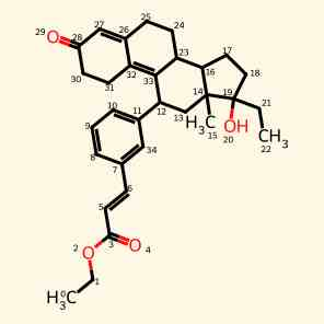 CCOC(=O)/C=C/c1cccc(C2CC3(C)C(CCC3(O)CC)C3CCC4=CC(=O)CCC4=C23)c1